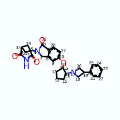 O=C1NC(=O)C2(N3Cc4cc(O[C@H]5CCC[C@@H]5N5CC(c6ccccc6)C5)ccc4C3=O)CC1C2